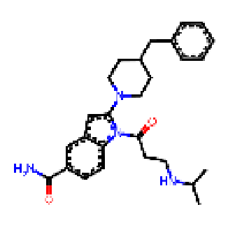 CC(C)NCCC(=O)n1c(N2CCC(Cc3ccccc3)CC2)cc2cc(C(N)=O)ccc21